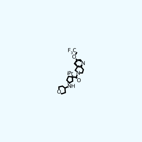 CC(C)[C@]1(C(=O)N2CCc3ncc(OCC(F)(F)F)cc3C2)CC[C@@H](NC2CCOCC2)C1